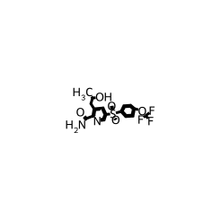 CC(O)Cc1cc(S(=O)(=O)c2ccc(OC(F)(F)F)cc2)cnc1C(N)=O